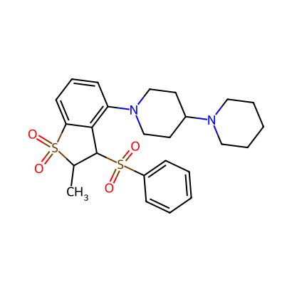 CC1C(S(=O)(=O)c2ccccc2)c2c(N3CCC(N4CCCCC4)CC3)cccc2S1(=O)=O